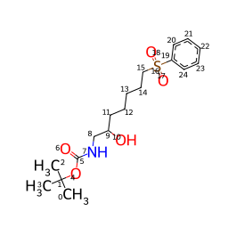 CC(C)(C)OC(=O)NCC(O)CCCCCS(=O)(=O)c1ccccc1